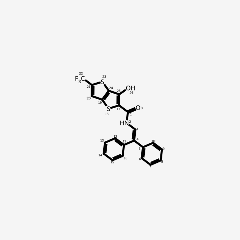 O=C(NC=C(c1ccccc1)c1ccccc1)c1sc2cc(C(F)(F)F)sc2c1O